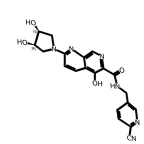 N#Cc1ccc(CNC(=O)c2ncc3nc(N4C[C@@H](O)[C@@H](O)C4)ccc3c2O)cn1